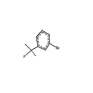 CC(C)(F)c1c[c]cc(Br)c1